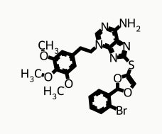 COc1cc(CCn2cnc(N)c3nc(SC4=COC(c5ccccc5Br)O4)nc2-3)cc(OC)c1OC